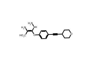 NN/C(Oc1ccc(C#CC2CCOCC2)cc1)=C(\N)C(=O)O